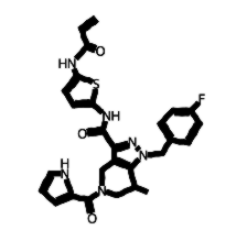 C=CC(=O)Nc1ccc(NC(=O)c2nn(Cc3ccc(F)cc3)c3c2CN(C(=O)c2ccc[nH]2)CC3C)s1